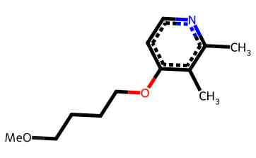 COCCCCOc1ccnc(C)c1C